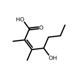 CCCC(O)C(C)=C(C)C(=O)O